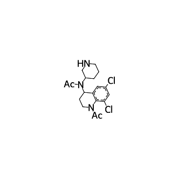 CC(=O)N1CCC(N(C(C)=O)C2CCCNC2)c2cc(Cl)cc(Cl)c21